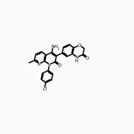 Cc1ccc2c(N)c(-c3ccc4c(c3)NC(=O)CO4)c(=O)n(-c3ccc(Cl)cc3)c2n1